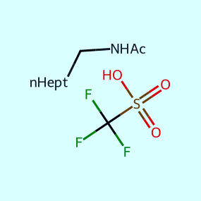 CCCCCCCCNC(C)=O.O=S(=O)(O)C(F)(F)F